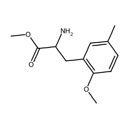 COC(=O)C(N)Cc1cc(C)ccc1OC